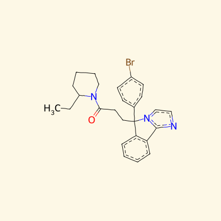 CCC1CCCCN1C(=O)CCC1(c2ccc(Br)cc2)c2ccccc2-c2nccn21